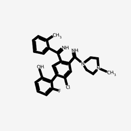 Cc1ccccc1C(=N)c1cc(-c2c(O)cccc2F)c(Cl)cc1C(=N)N1CCN(C)CC1